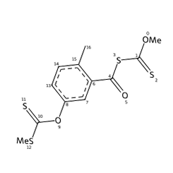 COC(=S)SC(=O)c1cc(OC(=S)SC)ccc1C